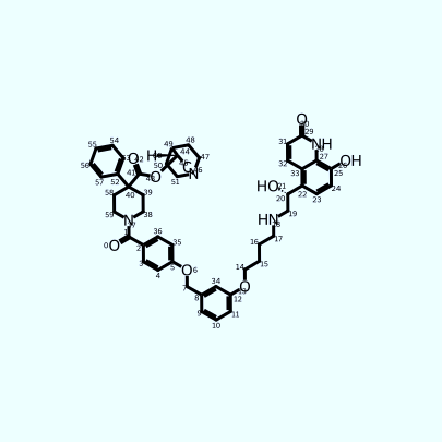 O=C(c1ccc(OCc2cccc(OCCCCNC[C@H](O)c3ccc(O)c4[nH]c(=O)ccc34)c2)cc1)N1CCC(C(=O)O[C@H]2CN3CCC2CC3)(c2ccccc2)CC1